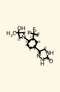 CC1(O)CN(c2ccc(C3=NNC(=O)NC3)cc2C(F)(F)F)C1